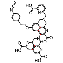 O=C(O)c1cccc(CN(Cc2cc(OCCc3ccc(N=C=S)cc3)cc(CN(Cc3cccc(C(=O)O)n3)Cc3cccc(C(=O)O)n3)n2)Cc2cccc(C(=O)O)n2)n1